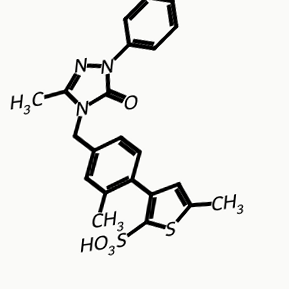 Cc1cc(-c2ccc(Cn3c(C)nn(-c4ccccc4)c3=O)cc2C)c(S(=O)(=O)O)s1